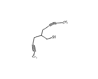 CC#CCC(CS)CC#CC